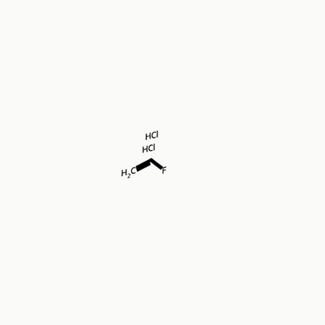 C=CF.Cl.Cl